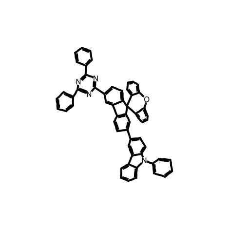 c1ccc(-c2nc(-c3ccccc3)nc(-c3ccc4c(c3)-c3ccc(-c5ccc6c(c5)c5ccccc5n6-c5ccccc5)cc3C43c4ccccc4Oc4ccccc43)n2)cc1